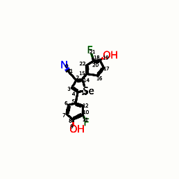 N#Cc1cc(-c2ccc(O)c(F)c2)[se]c1-c1ccc(O)c(F)c1